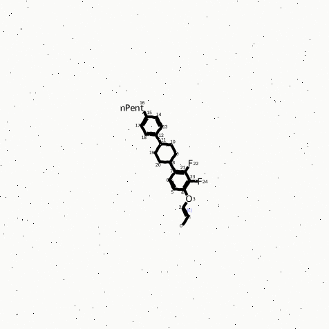 C/C=C/Oc1ccc(C2CCC(c3ccc(CCCCC)cc3)CC2)c(F)c1F